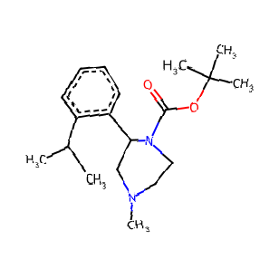 CC(C)c1ccccc1C1CN(C)CCN1C(=O)OC(C)(C)C